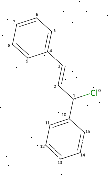 Cl[C](C=Cc1ccccc1)c1ccccc1